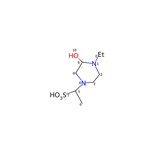 CCN1CCN(C(C)S(=O)(=O)O)CC1O